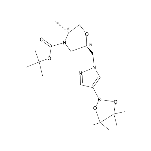 C[C@@H]1CO[C@@H](Cn2cc(B3OC(C)(C)C(C)(C)O3)cn2)CN1C(=O)OC(C)(C)C